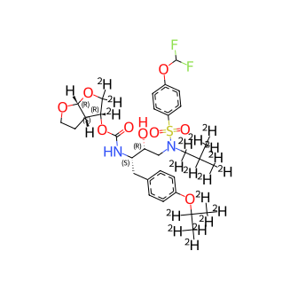 [2H]C([2H])([2H])C([2H])(Oc1ccc(C[C@H](NC(=O)O[C@]2([2H])[C@@H]3CCO[C@@H]3OC2([2H])[2H])[C@H](O)CN(C([2H])([2H])C([2H])(C([2H])([2H])[2H])C([2H])([2H])[2H])S(=O)(=O)c2ccc(OC(F)F)cc2)cc1)C([2H])([2H])[2H]